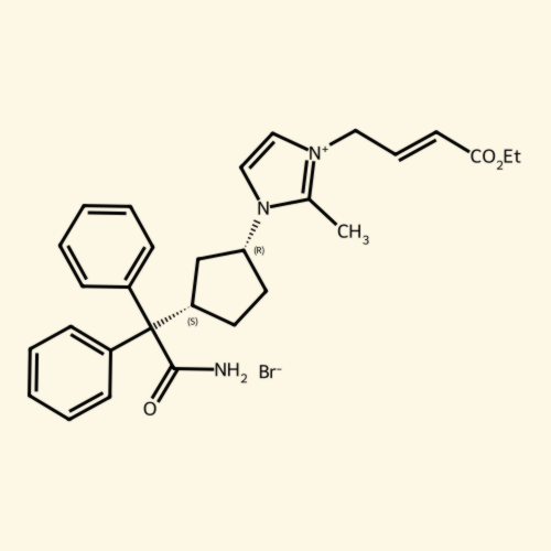 CCOC(=O)C=CC[n+]1ccn([C@@H]2CC[C@H](C(C(N)=O)(c3ccccc3)c3ccccc3)C2)c1C.[Br-]